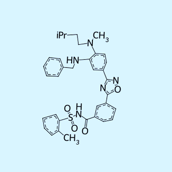 Cc1ccccc1S(=O)(=O)NC(=O)c1cccc(-c2nc(-c3ccc(N(C)CCC(C)C)c(NCc4ccccc4)c3)no2)c1